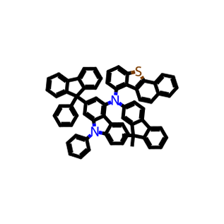 CC1(C)c2ccccc2-c2ccc(N(c3cccc4sc5c6ccccc6ccc5c34)c3cc(C4(c5ccccc5)c5ccccc5-c5ccccc54)cc4c3c3ccccc3n4-c3ccccc3)cc21